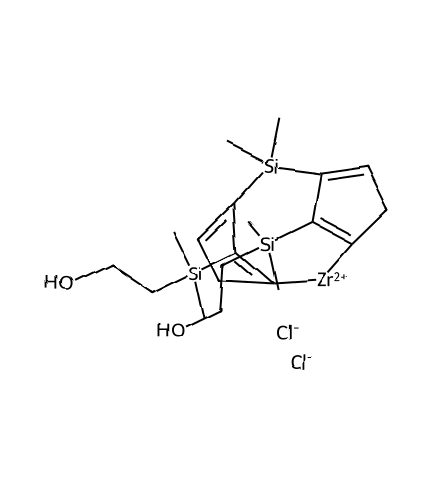 C[Si](C)(CCO)C1=[C]2CC=C1[Si](C)(C)C1=CC[C](=C1[Si](C)(C)CCO)[Zr+2]2.[Cl-].[Cl-]